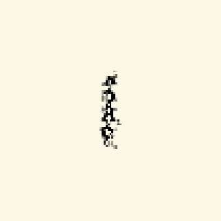 Cc1ccc(N2Cc3nn(-c4ccc(N5CC[C@H](F)C5)nn4)cc3C2=O)cn1